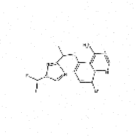 CC(Oc1ccc(Br)c2ncnc(N)c12)c1ncn(C(F)F)n1